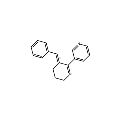 C(=C1/CCCN=C1c1cccnc1)/c1ccccc1